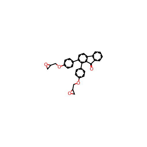 O=C1c2ccccc2-c2ccc(-c3ccc(OCC4CO4)cc3)c(-c3ccc(OCC4CO4)cc3)c21